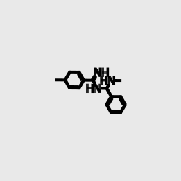 CNC(NC(=N)C1=CCC(C)C=C1)c1ccccc1